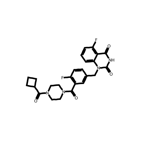 O=C(c1cc(Cn2c(=O)[nH]c(=O)c3c(F)cccc32)ccc1F)N1CCN(C(=O)C2CCC2)CC1